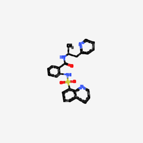 CC(Cc1ccccn1)NC(=O)c1ccccc1NS(=O)(=O)c1cccc2cccnc12